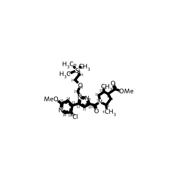 COC(=O)C1CC(C)N(C(=O)c2cc(-c3cc(OC)ncc3Cl)n(COCC[Si](C)(C)C)n2)CC1C